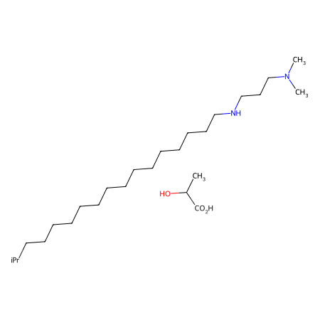 CC(C)CCCCCCCCCCCCCCCNCCCN(C)C.CC(O)C(=O)O